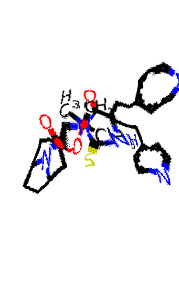 CC(C)(C)OC(=O)N1C2CCC1CC(CN1C(=O)C(Cc3ccncc3)(Cc3ccncc3)NC1=S)C2